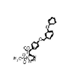 CS(=O)(=O)n1nnnc1[C@@H](CC(=O)O)c1ccc(OCc2cccc(Oc3ccccc3)c2)cc1